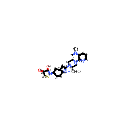 CCN(C)c1cccnc1N1CCN(c2cc3cc(N4SCC(=O)C4=O)ccc3[nH]2)[C@@H](C=O)C1